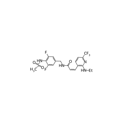 CCNc1nc(C(F)(F)F)ccc1/C=C\C(=O)NCc1cc(F)c(NS(C)(=O)=O)c(F)c1